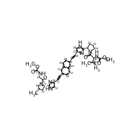 COC(=O)NCC(=O)N1C[C@@H](C)C[C@H]1c1nc(C#Cc2ccc3cc(C#Cc4c[nH]c([C@@H]5CCCN5C(=O)[C@@H](NC(=O)OC)C(C)C)n4)ccc3c2)c[nH]1